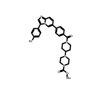 CC(C)(C)OC(=O)N1CCN(C2CCN(C(=O)c3ccc(-c4ccc5ncc(-c6ccc(C#N)cc6)n5c4)cc3)CC2)CC1